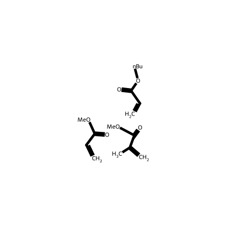 C=C(C)C(=O)OC.C=CC(=O)OC.C=CC(=O)OCCCC